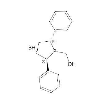 B.OCP1[C@@H](c2ccccc2)CC[C@@H]1c1ccccc1